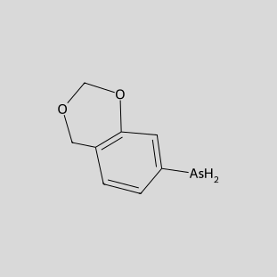 [AsH2]c1ccc2c(c1)OCOC2